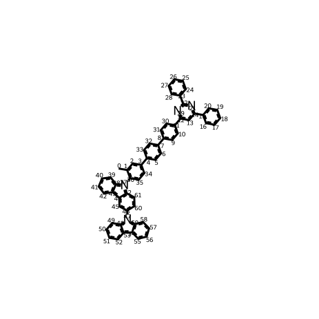 Cc1cc(-c2ccc(-c3ccc(-c4cc(-c5ccccc5)nc(-c5ccccc5)n4)cc3)cc2)ccc1-n1c2ccccc2c2cc(-n3c4ccccc4c4ccccc43)ccc21